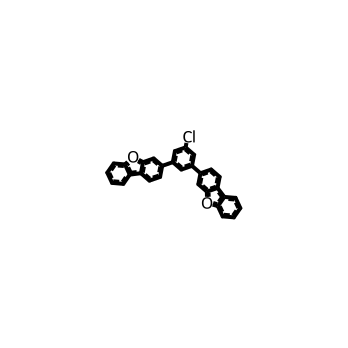 Clc1cc(-c2ccc3c(c2)oc2ccccc23)cc(-c2ccc3c(c2)oc2ccccc23)c1